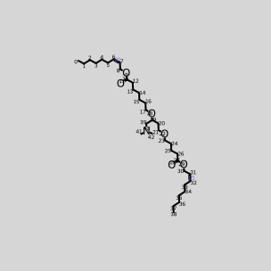 CCCCCC/C=C\COC(=O)CCCCCCOC(CCOCCCCC(=O)OC/C=C\CCCCCC)CN(C)C